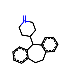 c1ccc2c(c1)CCc1ccccc1C2C1CCNCC1